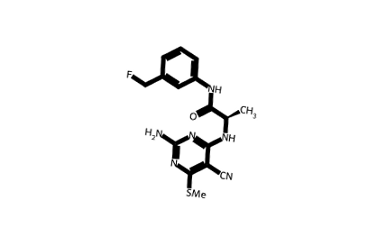 CSc1nc(N)nc(N[C@H](C)C(=O)Nc2cccc(CF)c2)c1C#N